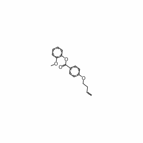 C=CCCOc1ccc(C(=O)Oc2ccccc2OC)cc1